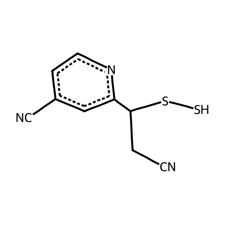 N#CCC(SS)c1cc(C#N)ccn1